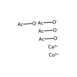 CC(=O)[O-].CC(=O)[O-].CC(=O)[O-].CC(=O)[O-].[Ca+2].[Co+2]